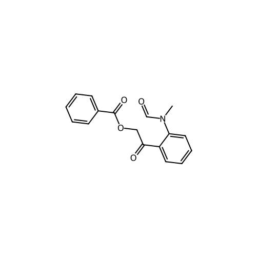 CN(C=O)c1ccccc1C(=O)COC(=O)c1ccccc1